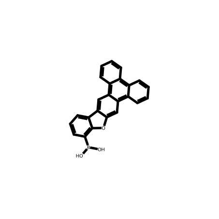 OB(O)c1cccc2c1oc1cc3c4ccccc4c4ccccc4c3cc12